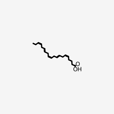 CC/C=C\C/C=C/C/C=C\C/C=C/C/C=C\CCCC(=O)O